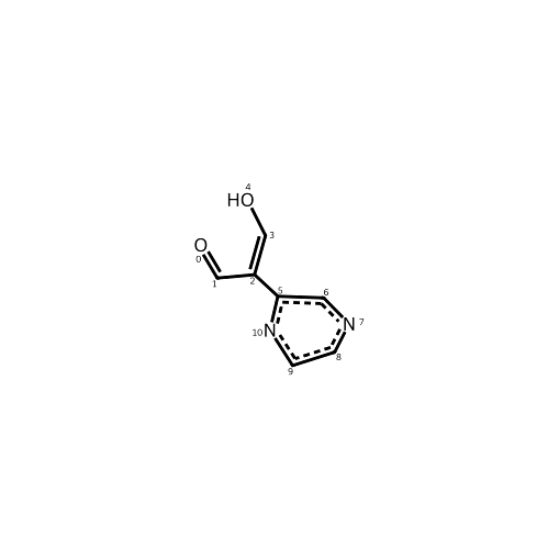 O=CC(=CO)c1cnccn1